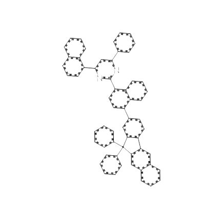 c1ccc(-c2cc(-c3cccc4ccccc34)nc(-c3ccc(-c4ccc5c(c4)C(c4ccccc4)(c4ccccc4)c4cc6ccccc6cc4-5)c4ccccc34)n2)cc1